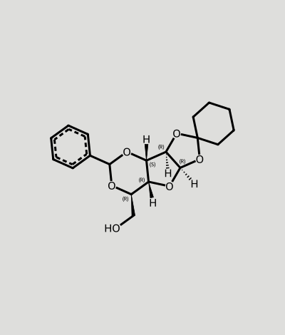 OC[C@H]1OC(c2ccccc2)O[C@@H]2[C@H]3OC4(CCCCC4)O[C@H]3O[C@@H]21